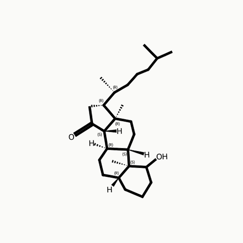 CC(C)CCC[C@@H](C)[C@H]1CC(=O)[C@H]2[C@@H]3CC[C@H]4CCCC(O)[C@]4(C)[C@H]3CC[C@]12C